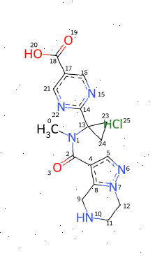 CN(C(=O)c1cnn2c1CNCC2)C1(c2ncc(C(=O)O)cn2)CC1.Cl